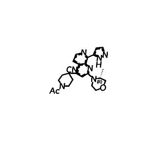 CC(=O)N1CCC(C#N)(c2cc(N3CCOC[C@H]3C)nc3c(-c4ccn[nH]4)nccc23)CC1